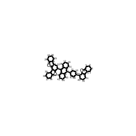 c1ccc2c(c1)oc1c(-c3ccc(-c4c5ccccc5c(-c5cc6c7ccccc7oc6c6c5oc5ccccc56)c5ccccc45)cc3)cccc12